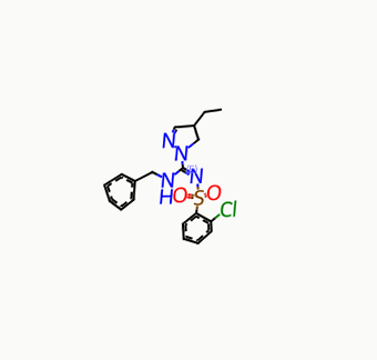 CCC1C=NN(/C(=N/S(=O)(=O)c2ccccc2Cl)NCc2ccccc2)C1